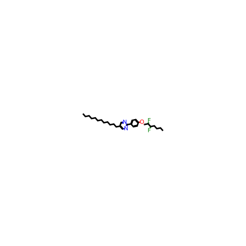 CCCCCCCCCCCCc1cnc(-c2ccc(OCC(F)C(F)CCCC)cc2)nc1